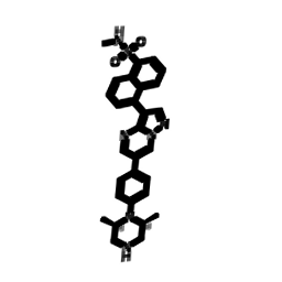 CNS(=O)(=O)c1cccc2c(-c3cnn4cc(-c5ccc(N6[C@H](C)CNC[C@@H]6C)cc5)cnc34)cccc12